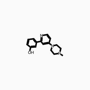 CN1CCN(c2ccnc(-c3cccc(O)c3)c2)CC1